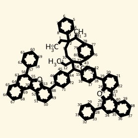 CCC1(c2ccccc2)CCC(CC)(C(c2ccc(-c3cccc4c3oc3c(-c5ccccc5)cc5ccccc5c34)cc2)c2ccc(-c3cccc4c3oc3c(-c5ccccc5)cc5ccccc5c34)cc2)C(C)c2ccc(cc2)C1C